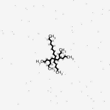 [CH2]CCCCC(CCCCCCCCC)(CC(CCC)CCC)CC(CCC)CCC